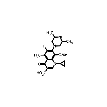 COc1c(N2CC(C)NC(C)C2)c(F)c(C)c2c(=O)c(C(=O)O)cn(C3CC3)c12